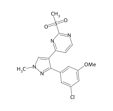 COc1cc(Cl)cc(-c2nn(C)cc2-c2ccnc(S(C)(=O)=O)n2)c1